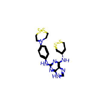 c1nc2c(N[C@H]3CCSSC3)nc(Nc3ccc(N4CCSSCC4)cc3)nc2[nH]1